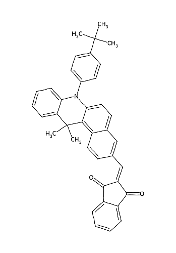 CC(C)(C)c1ccc(N2c3ccccc3C(C)(C)c3c2ccc2cc(C=C4C(=O)c5ccccc5C4=O)ccc32)cc1